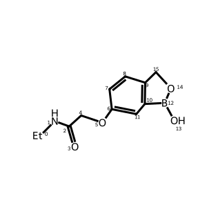 CCNC(=O)COc1ccc2c(c1)B(O)OC2